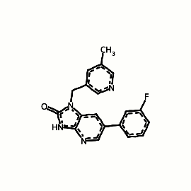 Cc1cncc(Cn2c(=O)[nH]c3ncc(-c4cccc(F)c4)cc32)c1